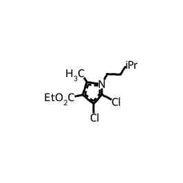 CCOC(=O)c1c(Cl)c(Cl)n(CCC(C)C)c1C